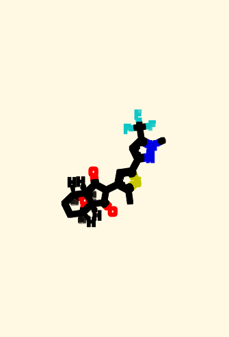 Cc1sc(-c2cc(C(F)(F)F)n(C)n2)cc1C1C(=O)[C@@H]2[C@H](C1=O)[C@H]1CC[C@@H]2O1